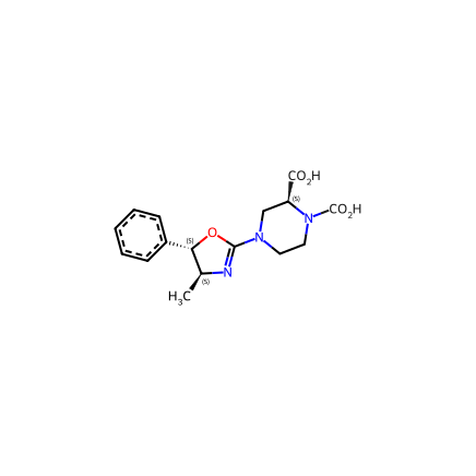 C[C@@H]1N=C(N2CCN(C(=O)O)[C@H](C(=O)O)C2)O[C@H]1c1ccccc1